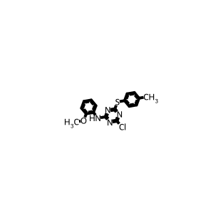 COc1ccccc1Nc1nc(Cl)nc(Sc2ccc(C)cc2)n1